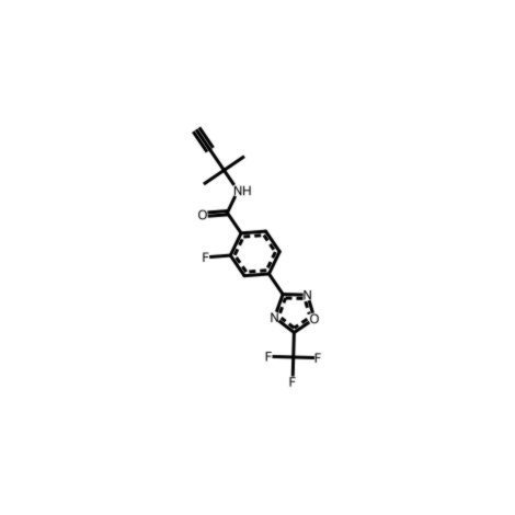 C#CC(C)(C)NC(=O)c1ccc(-c2noc(C(F)(F)F)n2)cc1F